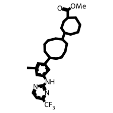 COC(=O)C1CCCCC(C2CCCCC(c3cc(C)cc(Nc4nccc(C(F)(F)F)n4)c3)CCCC2)CC1